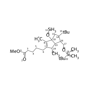 COC(=O)CCCCC1=C(C)C2(O[SiH3])CC(C(C)(C)C)C(CO[Si](C)(C)C(C)(C)C)C2C1C